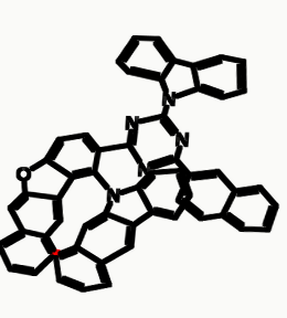 c1ccc2cc(-c3nc(-c4ccc5oc6cc7ccccc7cc6c5c4-n4c5ccccc5c5cc6ccccc6cc54)nc(-n4c5ccccc5c5ccccc54)n3)ccc2c1